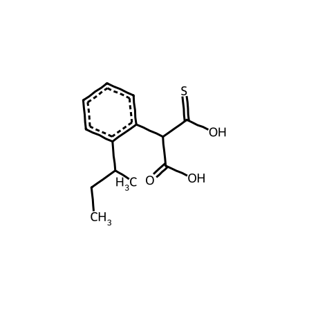 CCC(C)c1ccccc1C(C(=O)O)C(O)=S